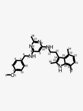 COc1ccc(CNc2cc(NCCc3c(C)[nH]c4c(F)ccc(C)c34)nc(C)n2)cc1